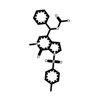 [CH2]CC(=O)OC(c1ccccc1)c1cn(C)c(=O)c2c1ccn2S(=O)(=O)c1ccc(C)cc1